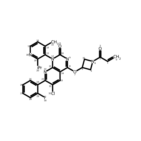 C=CC(=O)N1CC(Oc2nc(=O)n(-c3c(C)ccnc3C(C)C)c3nc(-c4ccccc4F)c(Cl)cc23)C1